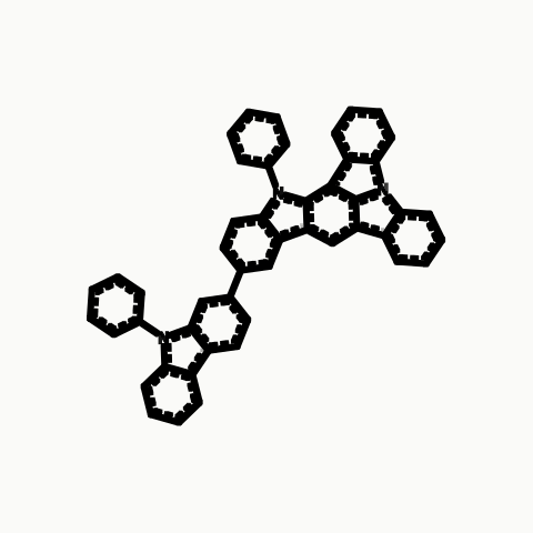 c1ccc(-n2c3ccccc3c3ccc(-c4ccc5c(c4)c4cc6c7ccccc7n7c8ccccc8c(c4n5-c4ccccc4)c67)cc32)cc1